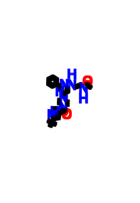 CC(=O)NCCNc1cc(N2CCN(C(=O)c3cc(C(C)(C)C)nn3C)CC2)nc(-c2ccccc2)n1